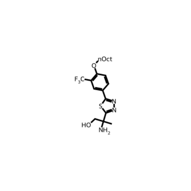 CCCCCCCCOc1ccc(-c2nnc(C(C)(N)CO)s2)cc1C(F)(F)F